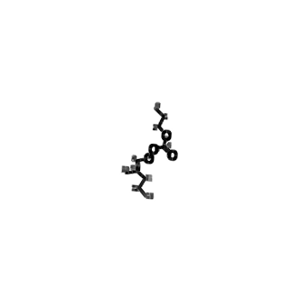 CCCOC(=O)OOC=C(C)CCC